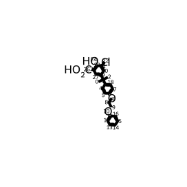 CC(C)(c1ccc(OCCOc2ccccc2)cc1)c1cc(Cl)c(O)c(C(=O)O)c1